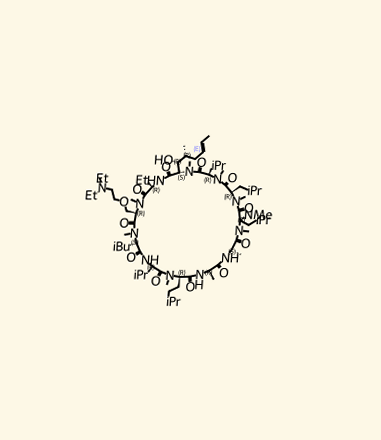 C/C=C/C[C@@H](C)[C@@H](O)[C@H]1C(=O)N[C@H](CC)C(=O)N(C)[C@H](COCCN(CC)CC)C(=O)N(C)[C@@H](C(C)CC)C(=O)N[C@H](C(C)C)C(=O)N(C)[C@H](CCC(C)C)C(=O)N[C@H](C)C(=O)N[C@@H](C)C(=O)N(C)[C@](CC(C)C)(NC)C(=O)N(C)[C@H](CC(C)C)C(=O)N(C)[C@H](C(C)C)C(=O)N1C